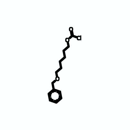 O=C(Cl)OCCCCCCOCc1ccccc1